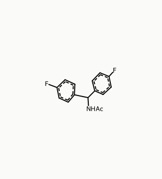 CC(=O)NC(c1ccc(F)cc1)c1ccc(F)cc1